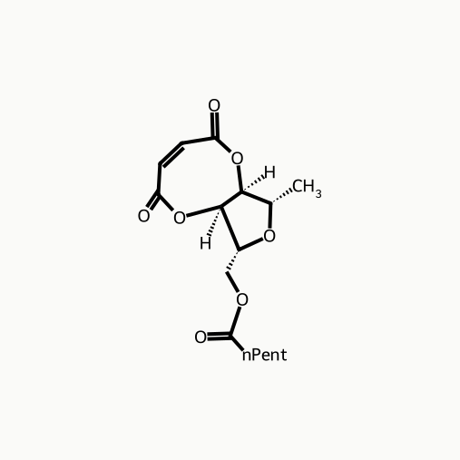 CCCCCC(=O)OC[C@H]1O[C@@H](C)[C@@H]2OC(=O)/C=C\C(=O)O[C@@H]21